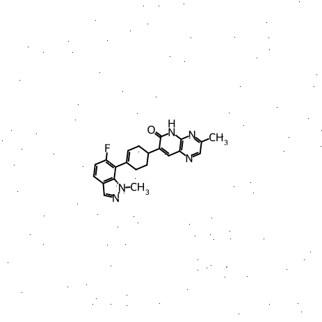 Cc1cnc2cc(C3CC=C(c4c(F)ccc5cnn(C)c45)CC3)c(=O)[nH]c2n1